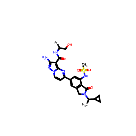 CC(C)C(CO)NC(=O)c1c(N)nn2ccc(-c3cc4c(c(NS(C)(=O)=O)c3)C(=O)N(C(C)C3CC3)C4)nc12